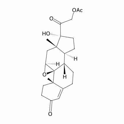 CC(=O)OCC(=O)[C@@]1(O)CC[C@H]2[C@@H]3CCC4=CC(=O)CC[C@]4(C)[C@@]34O[C@H]4C[C@@]21C